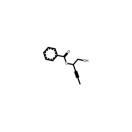 CC#CC(CO)OC(=O)c1ccccc1